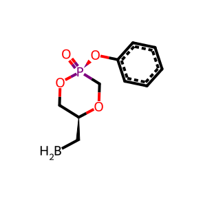 BC[C@H]1CO[P@@](=O)(Oc2ccccc2)CO1